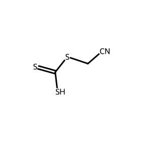 N#CCSC(=S)S